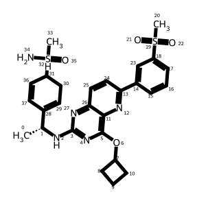 C[C@@H](Nc1nc(OC2CCC2)c2nc(-c3cccc(S(C)(=O)=O)c3)ccc2n1)C1=CCC([SH](C)(N)=O)C=C1